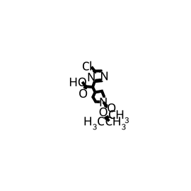 CC(C)(C)OC(=O)N1CCC(C(C(=O)O)c2cncc(Cl)n2)CC1